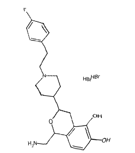 Br.Br.NCC1OC(C2CCN(CCc3ccc(F)cc3)CC2)Cc2c1ccc(O)c2O